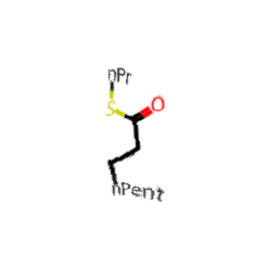 CCCCCCCC(=O)SCCC